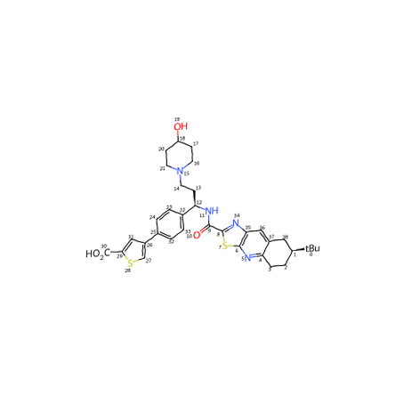 CC(C)(C)[C@H]1CCc2nc3sc(C(=O)N[C@H](CCN4CCC(O)CC4)c4ccc(-c5csc(C(=O)O)c5)cc4)nc3cc2C1